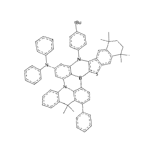 CC(C)(C)c1ccc(N2c3cc(N(c4ccccc4)c4ccccc4)cc4c3B(c3ccc(-c5ccccc5)c5c3N4c3ccccc3C5(C)C)c3sc4cc5c(cc4c32)C(C)(C)CCC5(C)C)cc1